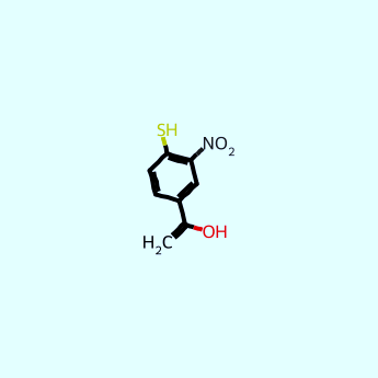 C=C(O)c1ccc(S)c([N+](=O)[O-])c1